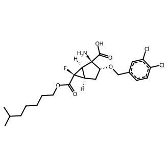 CC(C)CCCCCOC(=O)[C@@]1(F)[C@@H]2C[C@@H](OCc3ccc(Cl)c(Cl)c3)[C@@](N)(C(=O)O)[C@@H]21